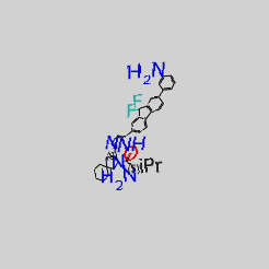 CC(C)[C@H](N)C(=O)N1CC2(CCCCC2)C[C@H]1c1ncc(-c2ccc3c(c2)C(F)(F)c2cc(-c4cccc(N)c4)ccc2-3)[nH]1